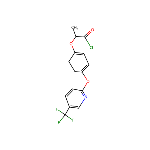 CC(OC1=CC=C(Oc2ccc(C(F)(F)F)cn2)CC1)C(=O)Cl